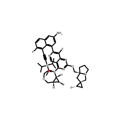 CC(C)[Si](C#Cc1c(F)ccc2cc(N)cc(-c3ncc4c(N5CCOC[C@H]6[C@H](F)[C@H]65)nc(OC[C@@]56CCCN5C[C@]5(C[C@@H]5F)C6)nc4c3F)c12)(C(C)C)C(C)C